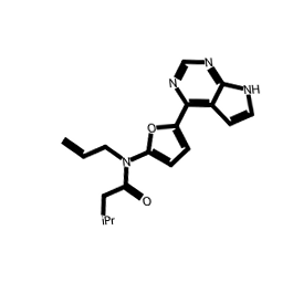 C=CCN(C(=O)CC(C)C)c1ccc(-c2ncnc3[nH]ccc23)o1